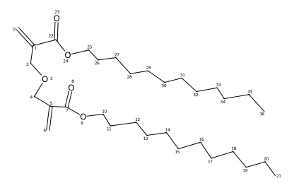 C=C(COCC(=C)C(=O)OCCCCCCCCCCCC)C(=O)OCCCCCCCCCCCC